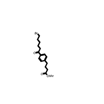 COC(=O)CCCc1ccc(C(=O)CCCCCBr)cc1